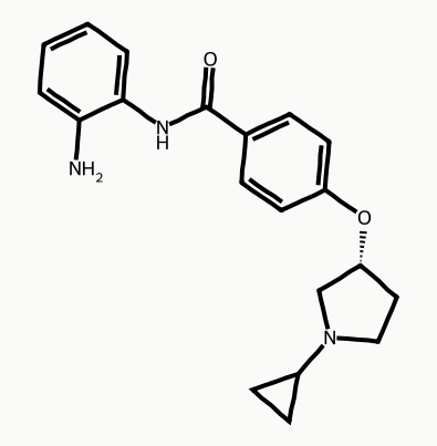 Nc1ccccc1NC(=O)c1ccc(O[C@@H]2CCN(C3CC3)C2)cc1